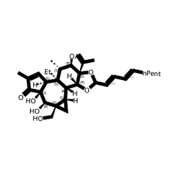 C=C(C)[C@@]12OC(/C=C/C=C/CCCCC)O[C@@H]1[C@@H]1[C@@H]3C[C@]3(CO)[C@@H](O)[C@]3(O)C(=O)C(C)=C[C@H]3[C@@]1(CC)[C@H](C)[C@H]2OC(C)=O